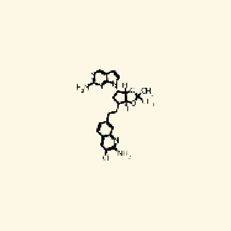 CC1(C)O[C@@H]2[C@@H](CCc3ccc4cc(Cl)c(N)nc4c3)C[C@@H](n3ccc4cnc(N)nc43)[C@@H]2O1